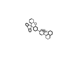 N=C(/C=C\C(=N)c1ccc2c(c1)OC1CC=CC=C1C21c2ccccc2-c2ccccc21)C1=c2ccccc2=CCC1